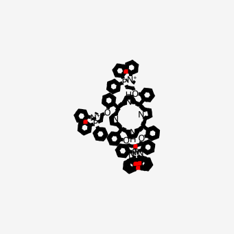 C[N+](c1ccccc1)=P(CCOc1ccccc1-c1c2nc(c(-c3ccccc3OCCP(c3ccccc3)(c3ccccc3)=[N+](C)c3ccccc3)c3ccc([nH]3)c(-c3ccccc3OCCP(c3ccccc3)(c3ccccc3)=[N+](C)c3ccccc3)c3nc(c(-c4ccccc4OCCP(=Nc4ccccc4)(c4ccccc4)c4ccccc4)c4ccc1[nH]4)C=C3)C=C2)(c1ccccc1)c1ccccc1